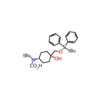 CC(C)(C)N(C(=O)O)[C@H]1CC[C@](O)(CO[Si](c2ccccc2)(c2ccccc2)C(C)(C)C)CC1